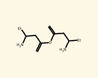 C=C(CC(N)CC)OC(=C)CC(N)CC